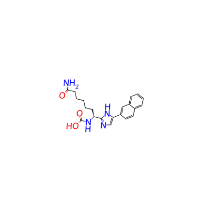 NC(=O)CCCCC[C@H](NC(=O)O)c1ncc(-c2ccc3ccccc3c2)[nH]1